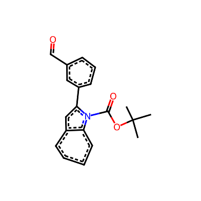 CC(C)(C)OC(=O)n1c(-c2cccc(C=O)c2)cc2ccccc21